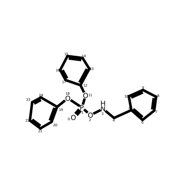 O=P(ONCc1ccccc1)(Oc1ccccc1)Oc1ccccc1